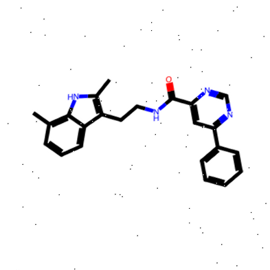 Cc1[nH]c2c(C)cccc2c1CCNC(=O)c1cc(-c2ccccc2)ncn1